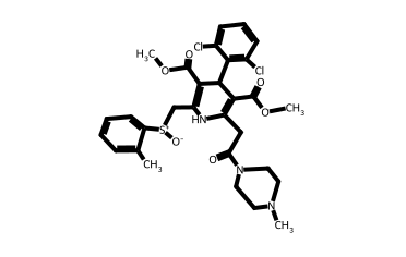 COC(=O)C1=C(CC(=O)N2CCN(C)CC2)NC(C[S+]([O-])c2ccccc2C)=C(C(=O)OC)C1c1c(Cl)cccc1Cl